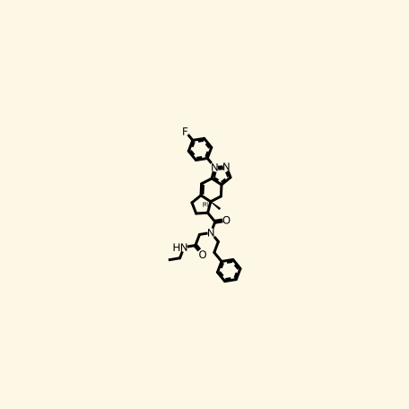 CCNC(=O)CN(CCc1ccccc1)C(=O)C1CCC2=Cc3c(cnn3-c3ccc(F)cc3)C[C@@]21C